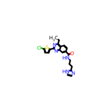 CCc1nc(-c2ccc(Cl)s2)nc2cc(C(=O)NCCCc3ncc[nH]3)ccc12